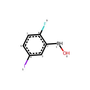 OBc1cc(I)ccc1F